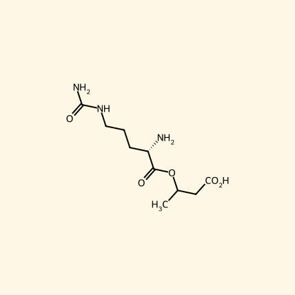 CC(CC(=O)O)OC(=O)[C@@H](N)CCCNC(N)=O